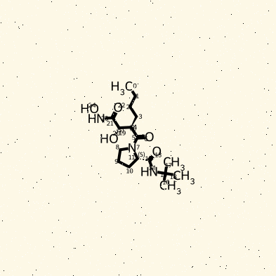 CCCC[C@@H](C(=O)N1CCC[C@H]1C(=O)NC(C)(C)C)[C@H](O)C(=O)NO